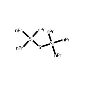 CCC[Si](CCC)(CCC)S[Si](CCC)(CCC)CCC